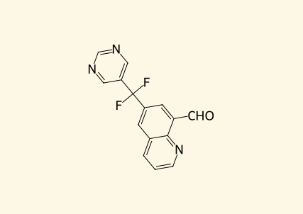 O=Cc1cc(C(F)(F)c2cncnc2)cc2cccnc12